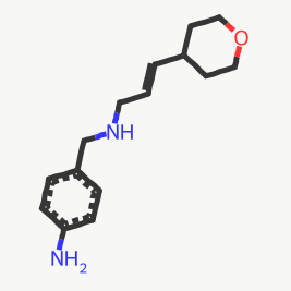 Nc1ccc(CNCC=CC2CCOCC2)cc1